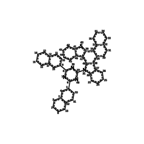 c1ccc2cc(-c3nc(-c4ccc5ccccc5c4)nc(-n4c5ccccc5c5c6ccc7ccccc7c6c6sc7ccccc7c6c54)n3)ccc2c1